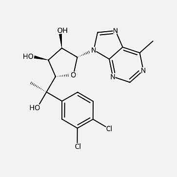 Cc1ncnc2c1ncn2[C@@H]1O[C@H]([C@](C)(O)c2ccc(Cl)c(Cl)c2)[C@@H](O)[C@H]1O